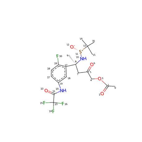 CC(=O)OCC(=O)C[C@](C)(N[S@+]([O-])C(C)(C)C)c1cc(NC(=O)C(F)(F)F)ccc1F